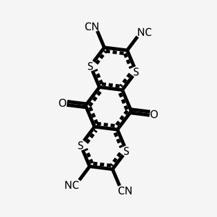 [C-]#[N+]c1sc2c(=O)c3sc(C#N)c(C#N)sc3c(=O)c2sc1[N+]#[C-]